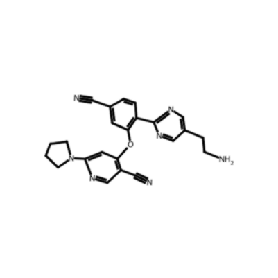 N#Cc1ccc(-c2ncc(CCN)cn2)c(Oc2cc(N3CCCC3)ncc2C#N)c1